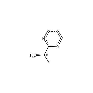 C[C@H](c1ncccn1)C(F)(F)F